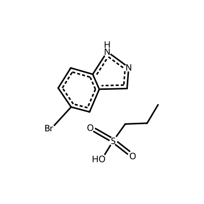 Brc1ccc2[nH]ncc2c1.CCCS(=O)(=O)O